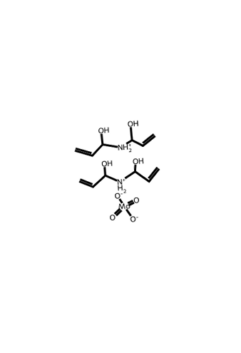 C=CC(O)[NH2+]C(O)C=C.C=CC(O)[NH2+]C(O)C=C.[O]=[Mo](=[O])([O-])[O-]